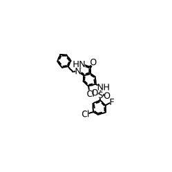 O=c1[nH]n(Cc2ccccc2)c2cc(Cl)c(NS(=O)(=O)c3cc(Cl)ccc3F)cc12